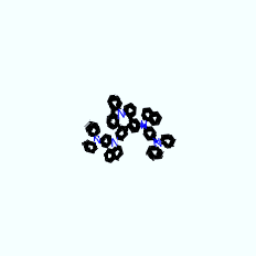 C1=CCCC(N(c2ccccc2)c2ccc(N(c3ccc4c5ccc(N(c6ccc(N(c7ccccc7)c7ccccc7)cc6)c6cccc7ccccc67)cc5c5ccccc5n5c6ccccc6c6cccc(c4c3)c65)c3cccc4c3=CCCC=4)cc2)=C1